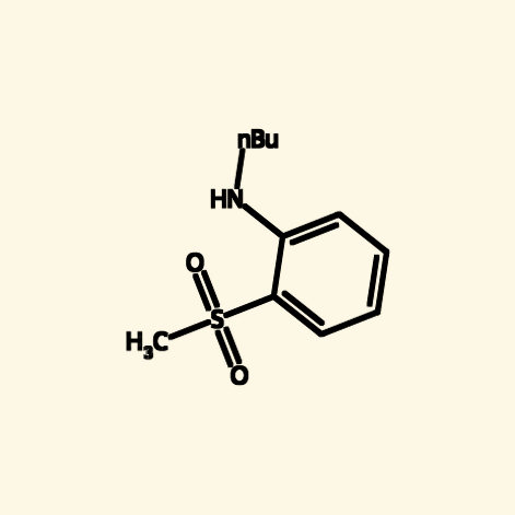 CCCCNc1ccccc1S(C)(=O)=O